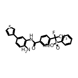 COP(=O)(c1ccccc1)C(C)(F)c1ccc(C(=O)Nc2cc(-c3ccsc3)ccc2N)cc1